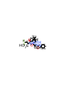 CC1(NC(=O)N[C@H](C(=O)N2C[C@H]3[C@@H]([C@H]2C(=O)NC(CC(F)F)C(=O)O)C3(C)C)C(C)(C)C)CCCCC1